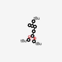 CC(C)(C)c1ccc(-c2c3ccccc3cc3c(-c4ccc(-c5cc6c7c(c5)Oc5cc(C(C)(C)C)ccc5B7c5ccc(C(C)(C)C)cc5O6)cc4)cccc23)cc1